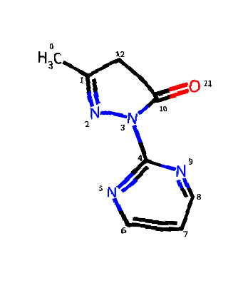 CC1=NN(c2ncccn2)C(=O)C1